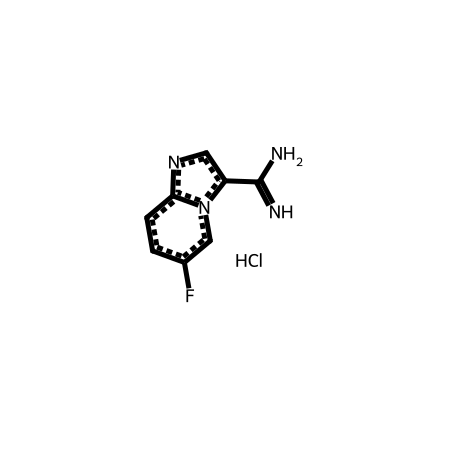 Cl.N=C(N)c1cnc2ccc(F)cn12